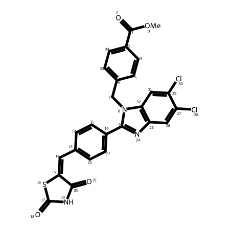 COC(=O)c1ccc(Cn2c(-c3ccc(/C=C4/SC(=O)NC4=O)cc3)nc3cc(Cl)c(Cl)cc32)cc1